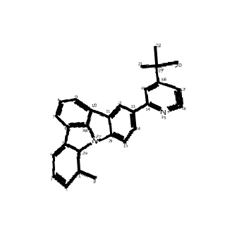 CC1C=CC=C2c3cccc4c5cc(C6=[N+]=C=CC(C(C)(C)C)=C6)ccc5n(c34)C21